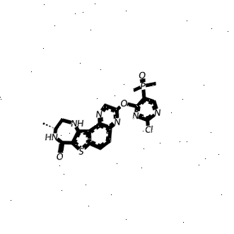 C[C@@H]1CNc2c(sc3ccc4nc(Oc5nc(Cl)ncc5P(C)(C)=O)cnc4c23)C(=O)N1